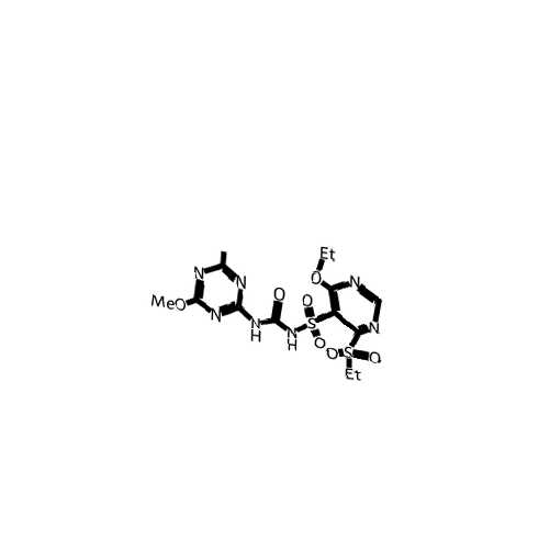 CCOc1ncnc(S(=O)(=O)CC)c1S(=O)(=O)NC(=O)Nc1nc(C)nc(OC)n1